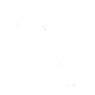 C=COCCN1CCCC1=O